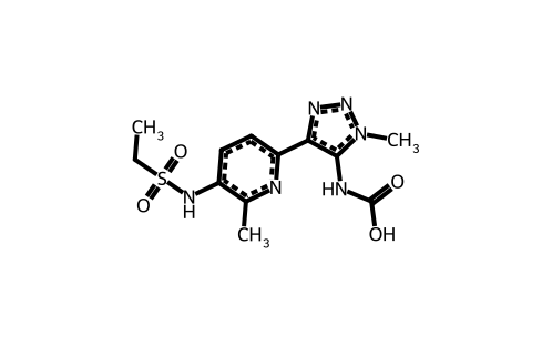 CCS(=O)(=O)Nc1ccc(-c2nnn(C)c2NC(=O)O)nc1C